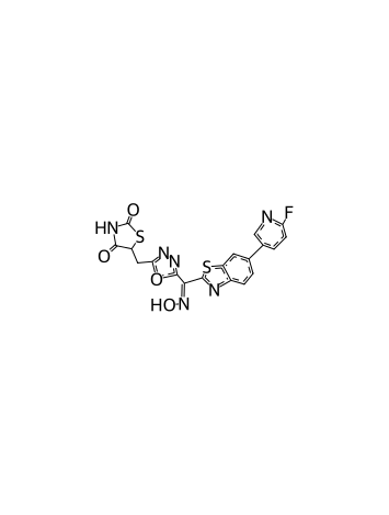 O=C1NC(=O)C(Cc2nnc(C(=NO)c3nc4ccc(-c5ccc(F)nc5)cc4s3)o2)S1